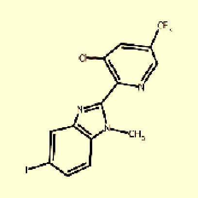 Cn1c(-c2ncc(C(F)(F)F)cc2Cl)nc2cc(I)ccc21